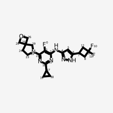 Fc1c(Nc2cc(C3CC(F)(F)C3)[nH]n2)nc(C2CC2)nc1N1CCC2(COC2)C1